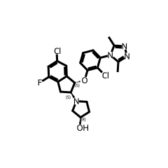 Cc1nnc(C)n1-c1cccc(O[C@H]2c3cc(Cl)cc(F)c3C[C@@H]2N2CC[C@@H](O)C2)c1Cl